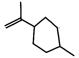 C=C(C)C1C[CH]C(C)CC1